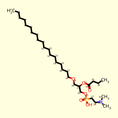 CCCCCCCCCCCCCCCCCCCOCC(COP(=O)(O)CCN(C)C)OC(=O)CCC